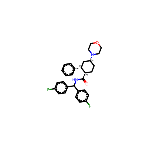 O=C(NC(c1ccc(F)cc1)c1ccc(F)cc1)[C@@H]1CC[C@@H](N2CCOCC2)C[C@H]1c1ccccc1